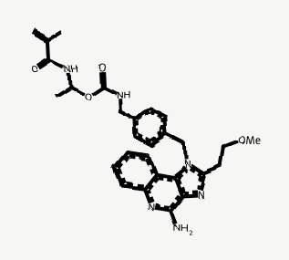 C=C(C)C(=O)NC(C)OC(=O)NCc1ccc(Cn2c(CCOC)nc3c(N)nc4ccccc4c32)cc1